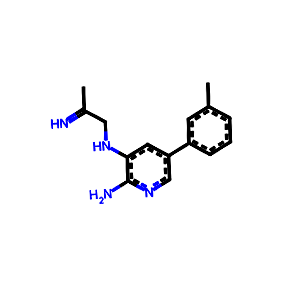 CC(=N)CNc1cc(-c2cccc(C)c2)cnc1N